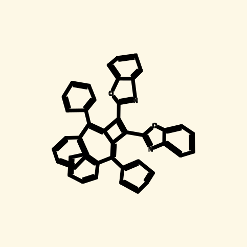 c1ccc(C(=C2C(=C(c3ccccc3)c3ccccc3)C(c3nc4ccccc4o3)=C2c2nc3ccccc3o2)c2ccccc2)cc1